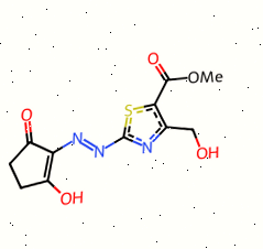 COC(=O)c1sc(N=NC2=C(O)CCC2=O)nc1CO